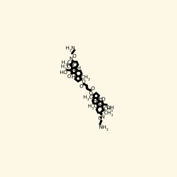 CC1(C)/C(=N/OCCN)CC[C@@]2(C)C1C(CO)C(=O)[C@@H]1[C@H]2CC[C@]2(C)C(OC(=O)/C=C/C(=O)OC3CC[C@H]4[C@@H]5C(=O)C(CO)C6C(C)(C)/C(=N/OCCN)CC[C@]6(C)[C@@H]5CC[C@]34C)CC[C@@H]12